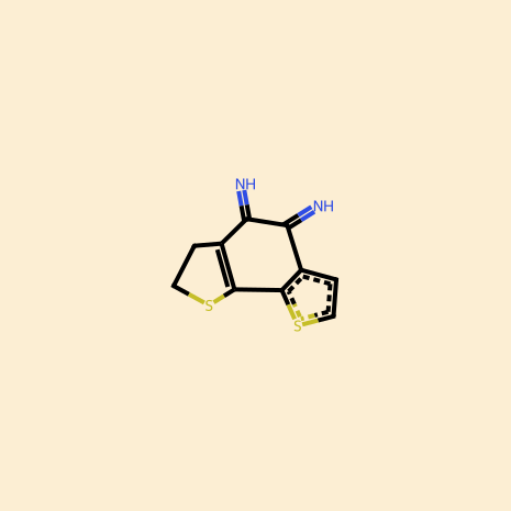 N=C1C(=N)c2ccsc2C2=C1CCS2